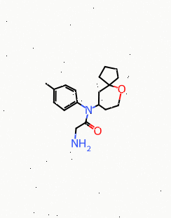 Cc1ccc(N(C(=O)CN)C2CCOC3(CCCC3)C2)cc1